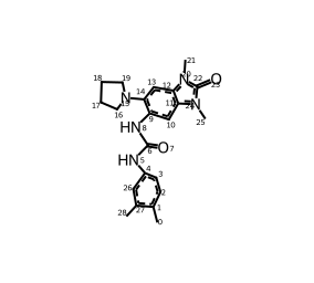 Cc1ccc(NC(=O)Nc2cc3c(cc2N2CCCC2)n(C)c(=O)n3C)cc1C